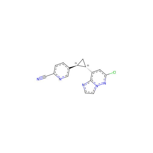 N#Cc1ccc([C@H]2C[C@@H]2c2cc(Cl)nn3ccnc23)cn1